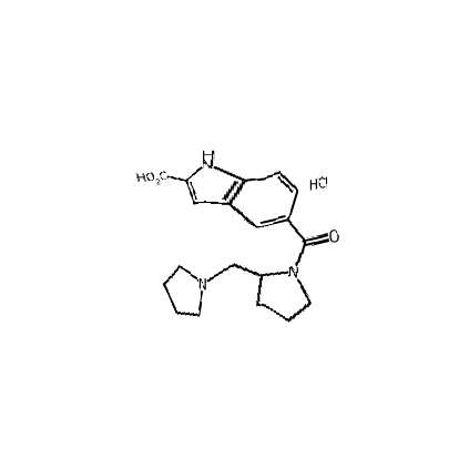 Cl.O=C(O)c1cc2cc(C(=O)N3CCCC3CN3CCCC3)ccc2[nH]1